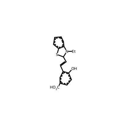 CCN1c2ccccc2SC1C=Cc1cc(C(=O)O)ccc1O